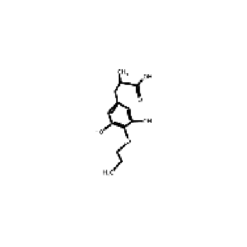 CCCOc1c(O)cc(CC(C)C(=O)O)cc1O